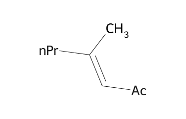 CCC/C(C)=C/C(C)=O